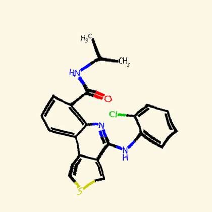 CC(C)NC(=O)c1cccc2c1nc(Nc1ccccc1Cl)c1cscc12